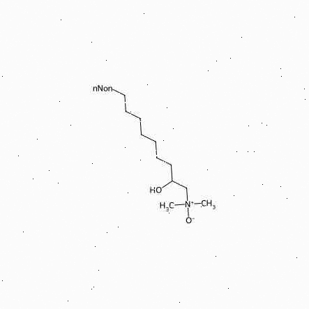 CCCCCCCCCCCCCCCCC(O)C[N+](C)(C)[O-]